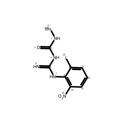 CC(C)(C)NC(=O)NC(=N)Nc1c(I)cccc1[N+](=O)[O-]